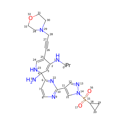 CC(C)NC1=CC(N)(c2ccnc(-c3cnn(S(=O)(=O)C4CC4)c3)n2)NC=C1C#CCN1CCOCC1